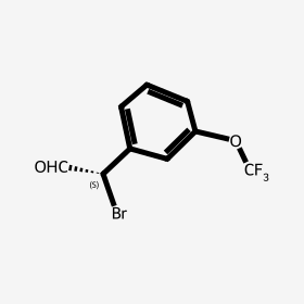 O=C[C@@H](Br)c1cccc(OC(F)(F)F)c1